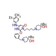 CCCCC1(O)CCN(CCCCCn2c(=O)cc(Nc3ccc(C)c(CC)c3)[nH]c2=O)CC1.CCCCC1(O)CCN(Cc2ccccc2)CC1